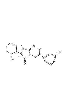 CCC[C@@H]1CCCCC1[C@]1(C)C(=O)N(CC(=O)c2cccc(O)c2)C(=O)N1C